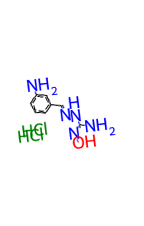 Cl.Cl.NC(=NO)NN=Cc1cccc(N)c1